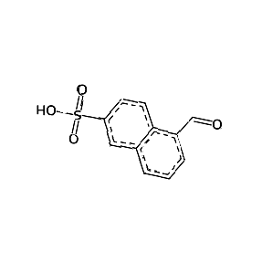 O=Cc1cccc2cc(S(=O)(=O)O)ccc12